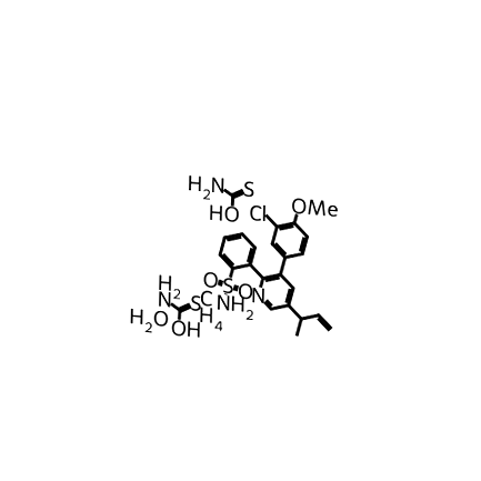 C.C=CC(C)c1cnc(-c2ccccc2S(N)(=O)=O)c(-c2ccc(OC)c(Cl)c2)c1.NC(O)=S.NC(O)=S.O